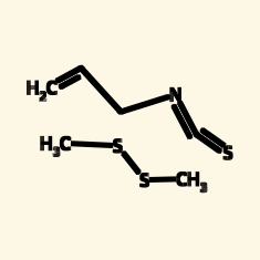 C=CCN=C=S.CSSC